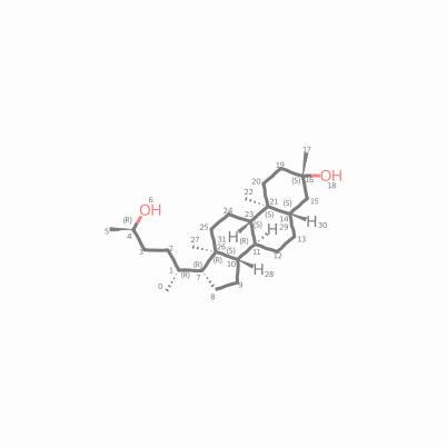 C[C@H](CC[C@@H](C)O)[C@H]1CC[C@H]2[C@@H]3CC[C@H]4C[C@@](C)(O)CC[C@]4(C)[C@H]3CC[C@]12C